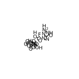 Nc1nc2c(ncn2[C@@H]2O[C@H](C(O)OP(=O)(O)OP(=O)(O)OP(=O)(O)O)[C@@H](O)[C@H]2F)c(=O)[nH]1